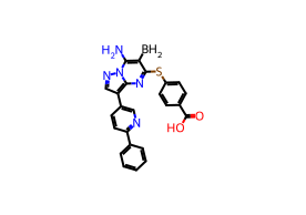 Bc1c(Sc2ccc(C(=O)O)cc2)nc2c(-c3ccc(-c4ccccc4)nc3)cnn2c1N